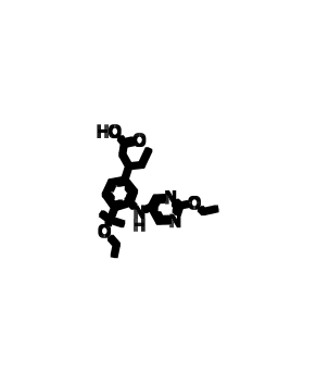 CCOc1ncc(Nc2cc(C(CC)CC(=O)O)ccc2C(C)(C)OCC)cn1